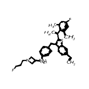 C=Cc1ccc2c(Cc3ccc(NC4CN(CCCF)C4)cc3)c(C(=C)c3c(C)cc(F)cc3C)sc2c1